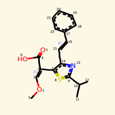 CO/C=C(/C(=O)O)c1sc(C(C)C)nc1/C=C/c1ccccc1